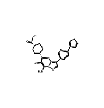 Nc1c(Br)c([C@H]2CC[C@@H](C(=O)O)CC2)nc2c(-c3ccc(C4=CCC=C4)nc3)cnn12